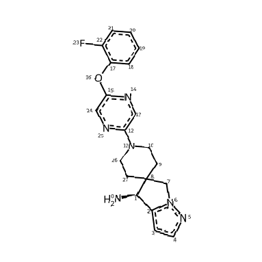 N[C@@H]1c2ccnn2CC12CCN(c1cnc(Oc3ccccc3F)cn1)CC2